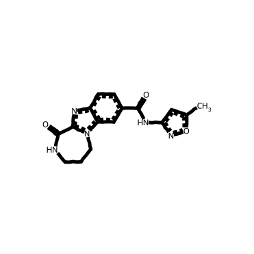 Cc1cc(NC(=O)c2ccc3nc4n(c3c2)CCCNC4=O)no1